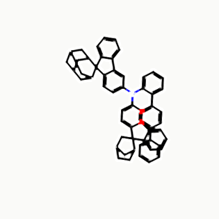 c1ccc(-c2ccc(-c3ccccc3N(c3ccc4c(c3)-c3ccccc3C43CC4CCC3C4)c3ccc4c(c3)-c3ccccc3C43C4CC5CC(C4)CC3C5)cc2)cc1